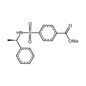 COC(=O)c1ccc(S(=O)(=O)N[C@H](C)c2ccccc2)cc1